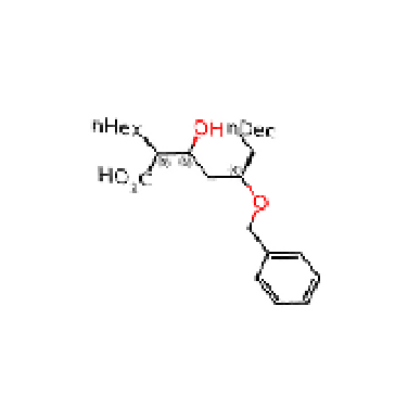 CCCCCCCCCCC[C@H](C[C@H](O)[C@H](CCCCCC)C(=O)O)OCc1ccccc1